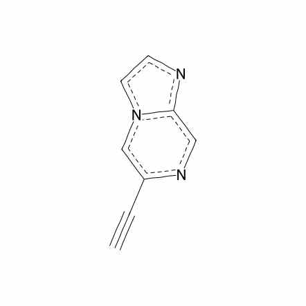 C#Cc1cn2ccnc2cn1